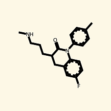 CNCCCC1Cc2cc(F)ccc2N(c2ccc(C)cc2)C1=O